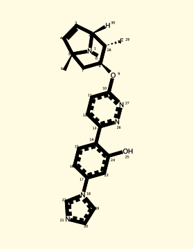 CN1[C@@H]2C=C[C@@]1(C)C[C@H](Oc1ccc(-c3ccc(-n4ccnc4)cc3O)nn1)[C@H]2F